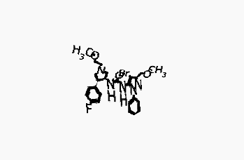 COCCN1C[C@@H](NC(=O)Nc2c(Br)c(COC)nn2-c2ccccc2)[C@H](c2ccc(F)cc2)C1